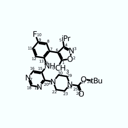 Cc1onc(C(C)C)c1-c1cc(F)ccc1Nc1cncnc1N1CCN(C(=O)OC(C)(C)C)CC1